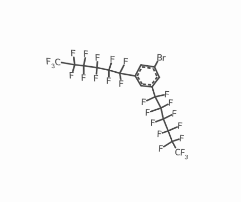 FC(F)(F)C(F)(F)C(F)(F)C(F)(F)C(F)(F)C(F)(F)c1cc(Br)cc(C(F)(F)C(F)(F)C(F)(F)C(F)(F)C(F)(F)C(F)(F)F)c1